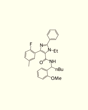 CCCCC(NC(=O)c1c(-c2cc(C)ccc2F)nc(-c2ccccc2)n1CC)c1ccccc1OC